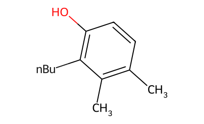 CCCCc1c(O)ccc(C)c1C